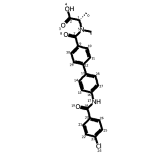 C[C@@H](C(=O)O)N(C)C(=O)c1ccc(-c2ccc(NC(=O)c3ccc(Cl)cc3)cc2)cc1